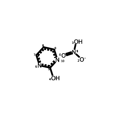 O=[N+]([O-])O.Oc1ncccn1